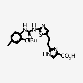 Cc1ccc(NC(=O)Nc2ncc(CCc3nc(C(=O)O)c[nH]3)s2)c(OCC(C)C)c1